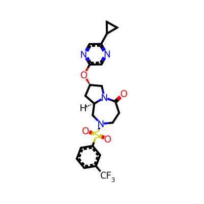 O=C1CCN(S(=O)(=O)c2cccc(C(F)(F)F)c2)C[C@H]2C[C@@H](Oc3cnc(C4CC4)cn3)CN12